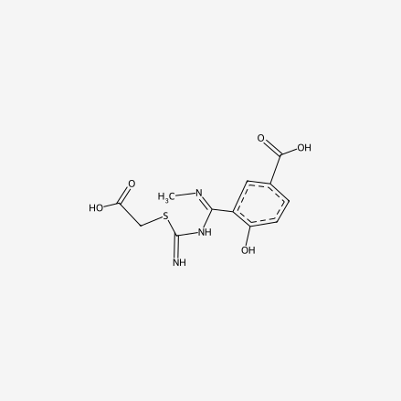 C/N=C(\NC(=N)SCC(=O)O)c1cc(C(=O)O)ccc1O